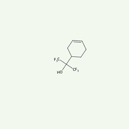 OC(C1CC=CCC1)(C(F)(F)F)C(F)(F)F